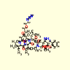 CC[C@@H](C)[C@@H](C(CC(=O)N1CCC[C@H]1[C@H](OC)[C@H](C)C(N)[C@H](Cc1ccccc1)C(=O)O)OC)N(C)C(=O)[C@@H](NC(=O)[C@H](C(C)C)N(C)C(=O)CCOCCOCCN=[N+]=[N-])C(C)C